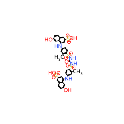 Cc1cc(Nc2cc(S(=O)(=O)O)cc3ccc(O)cc23)ccc1S(=O)(=O)NC(=O)NS(=O)(=O)c1ccc(Nc2cc(S(=O)(=O)O)cc3ccc(O)cc23)cc1C